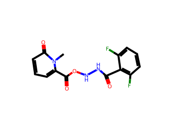 Cn1c(C(=O)ONNC(=O)c2c(F)cccc2F)cccc1=O